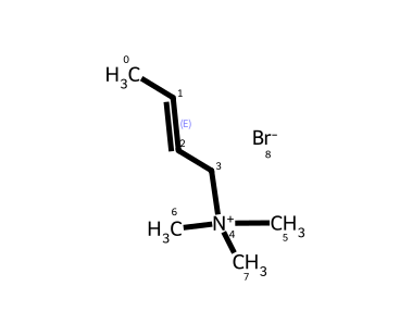 C/C=C/C[N+](C)(C)C.[Br-]